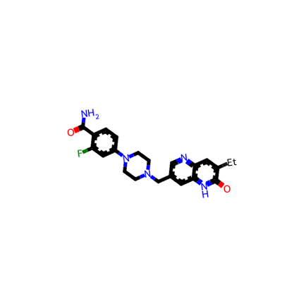 CCc1cc2ncc(CN3CCN(c4ccc(C(N)=O)c(F)c4)CC3)cc2[nH]c1=O